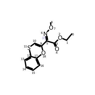 CCOC(=O)/C(=N\OC)C1=CSc2ccccc2O1